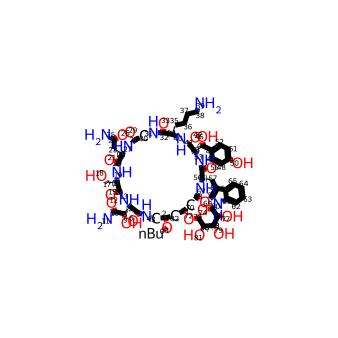 CCCCOC1CNC(=O)[C@H](C(O)C(N)=O)NC(=O)[C@H](CO)NC(=O)[C@H](CC(N)=O)NC(=O)CNC(=O)[C@H](CCCCN)NC(=O)[C@H](C(O)c2ccc(O)cc2)NC(=O)[C@H](Cc2c[nH]c3ccccc23)NC(=O)CC(OC2OC[C@@H](O)[C@H](O)[C@H]2O)C1